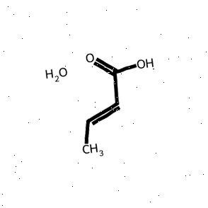 C/C=C/C(=O)O.O